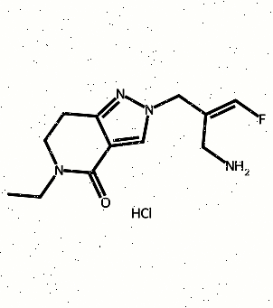 CCN1CCc2nn(C/C(=C/F)CN)cc2C1=O.Cl